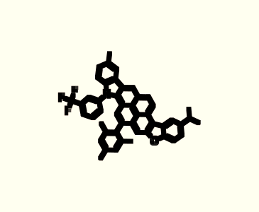 Cc1cc(C)c(-c2cc3c4c(ccc5c6c(cc2c54)oc2ccc(C(C)C)cc26)cc2c4cc(C)ccc4n(-c4cccc(C(F)(F)F)c4)c23)c(C)c1